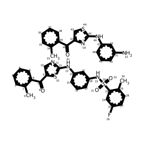 Cc1ccccc1C(=O)c1cnc(Nc2cccc(NS(=O)(=O)c3cc(F)ccc3C)c2)s1.Cc1ccccc1C(=O)c1csc(Nc2cccc(N)c2)n1